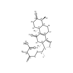 C=C(CC[C@@H](C)[C@H]1CC=C2C3=C(C(=O)C[C@@]21C)[C@@]1(C)CCC(=O)[C@@H](C)C1CC3)C(C)C(=O)O